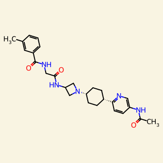 CC(=O)Nc1ccc([C@H]2CC[C@@H](N3CC(NC(=O)CNC(=O)c4cccc(C)c4)C3)CC2)nc1